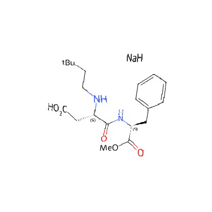 COC(=O)[C@H](Cc1ccccc1)NC(=O)[C@H](CC(=O)O)NCCC(C)(C)C.[NaH]